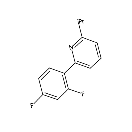 CC(C)c1cccc(-c2ccc(F)cc2F)n1